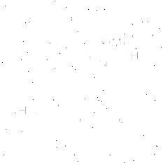 CO[Si]1(C)CCCCCN(C)CCO1